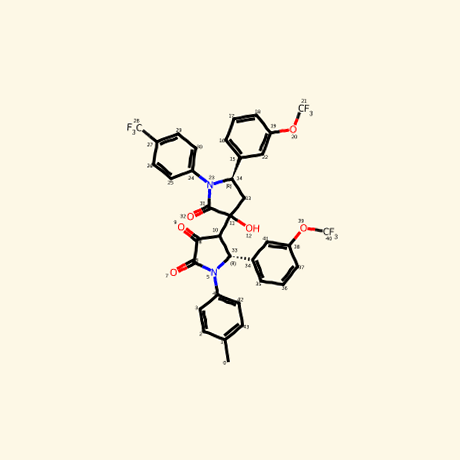 Cc1ccc(N2C(=O)C(=O)C(C3(O)C[C@H](c4cccc(OC(F)(F)F)c4)N(c4ccc(C(F)(F)F)cc4)C3=O)[C@@H]2c2cccc(OC(F)(F)F)c2)cc1